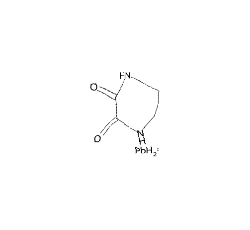 O=C1NCCNC1=O.[PbH2]